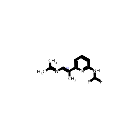 CC(C)=N/C=C(\C)c1cccc(NC(F)F)n1